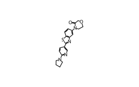 O=C1COCCN1c1ccc2sc(-c3ccc(N4CCCC4)nc3)nc2c1